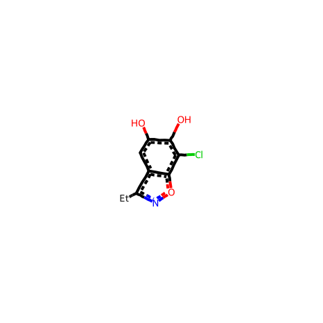 CCc1noc2c(Cl)c(O)c(O)cc12